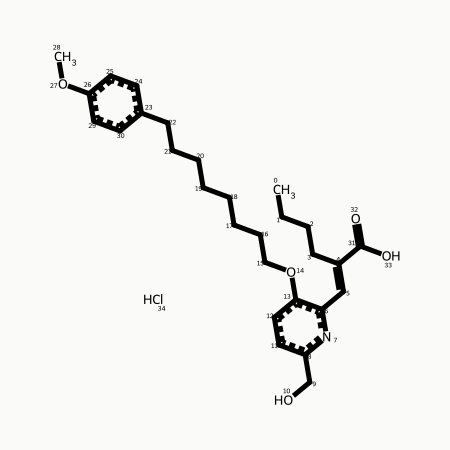 CCCC/C(=C\c1nc(CO)ccc1OCCCCCCCCc1ccc(OC)cc1)C(=O)O.Cl